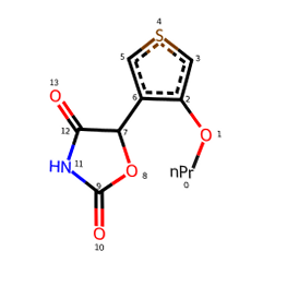 CCCOc1cscc1C1OC(=O)NC1=O